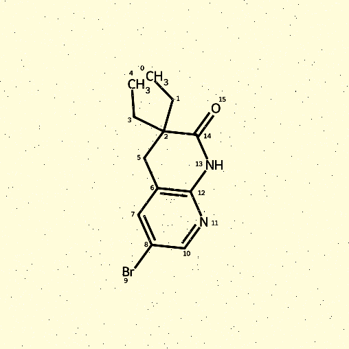 CCC1(CC)Cc2cc(Br)cnc2NC1=O